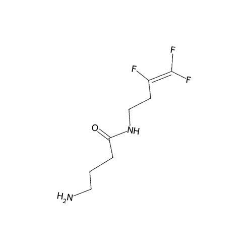 NCCCC(=O)NCCC(F)=C(F)F